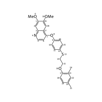 COc1cc2nccc(Oc3ccc(SCCOc4ccc(C)cc4C)cc3)c2cc1OC